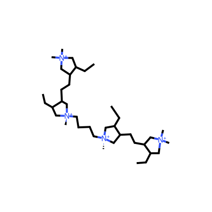 CCC1C[N+](C)(C)CC1CCC1C[N@@+](C)(CCCC[N@+]2(C)CC(CC)C(CCC3C[N+](C)(C)CC3CC)C2)CC1CC